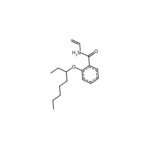 C=C[SiH2]C(=O)c1ccccc1OC(CC)CCCCC